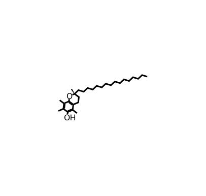 CCCCCCCCCCCCCCCC[C@]1(C)CCc2c(C)c(O)c(C)c(C)c2O1